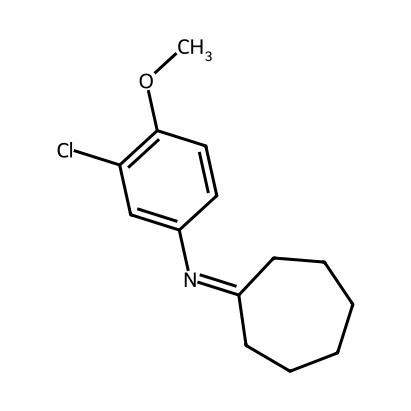 COc1ccc(N=C2CCCCCC2)cc1Cl